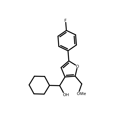 COCc1oc(-c2ccc(F)cc2)cc1C(O)C1CCCCC1